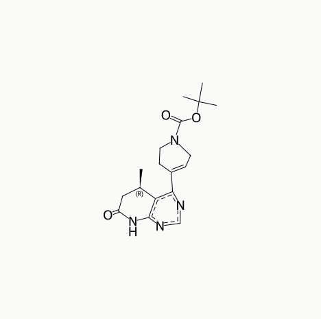 C[C@@H]1CC(=O)Nc2ncnc(C3=CCN(C(=O)OC(C)(C)C)CC3)c21